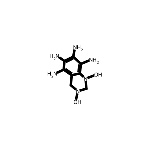 Nc1c(N)c(N)c2c(c1N)CN(O)CN2O